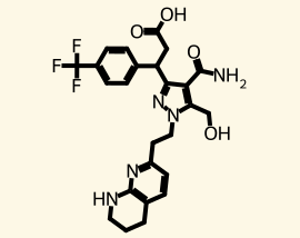 NC(=O)c1c(C(CC(=O)O)c2ccc(C(F)(F)F)cc2)nn(CCc2ccc3c(n2)NCCC3)c1CO